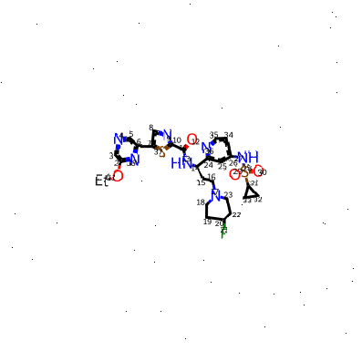 CCOc1cncc(-c2cnc(C(=O)N[C@H](CCN3CCC(F)CC3)c3cc(NS(=O)(=O)C4CC4)ccn3)s2)n1